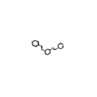 C(=N\c1cccc(/N=C/c2ccccc2)c1)/c1ccccc1